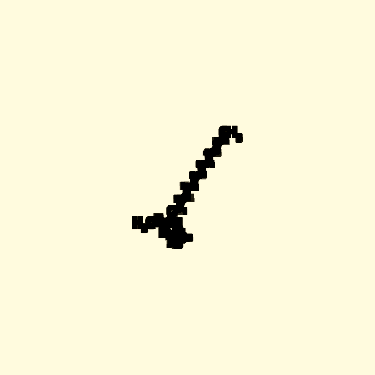 CCCCCCCCCCCCCCOc1nc2cscc2nc1CC